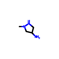 CN1CC(N)CN1